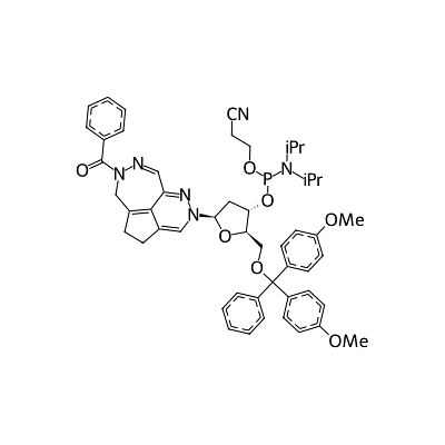 COc1ccc(C(OC[C@H]2O[C@@H](N3C=C4CCC5=C4C(=N3)C=NN(C(=O)c3ccccc3)C5)C[C@@H]2OP(OCCC#N)N(C(C)C)C(C)C)(c2ccccc2)c2ccc(OC)cc2)cc1